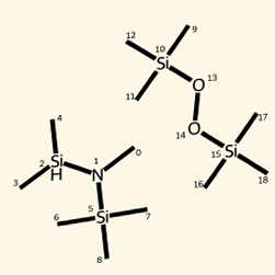 CN([SiH](C)C)[Si](C)(C)C.C[Si](C)(C)OO[Si](C)(C)C